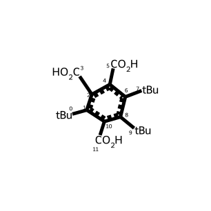 CC(C)(C)c1c(C(=O)O)c(C(=O)O)c(C(C)(C)C)c(C(C)(C)C)c1C(=O)O